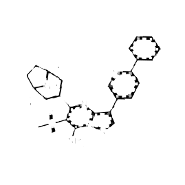 CS(=O)(=O)c1c([C@H]2C[C@H]3CC[C@@H](C2)N3)nc2c(-c3ccc(-c4ccccc4)nc3)cnn2c1N